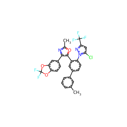 Cc1cccc(-c2ccc(-n3nc(C(F)(F)F)cc3Cl)c(-c3oc(C)nc3-c3ccc4c(c3)OC(F)(F)O4)c2)c1